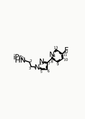 CC(C)NCCn1ccc(-c2ccc(F)cn2)n1